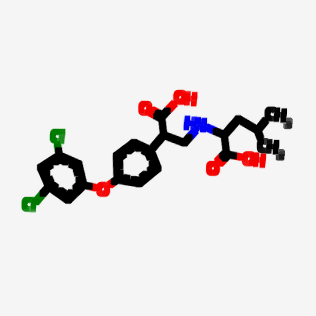 CC(C)CC(NCC(C(=O)O)c1ccc(Oc2cc(Cl)cc(Cl)c2)cc1)C(=O)O